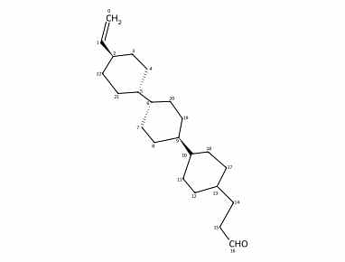 C=C[C@H]1CC[C@H]([C@H]2CC[C@H](C3CCC(CCC=O)CC3)CC2)CC1